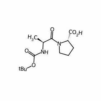 C[C@H](NC(=O)OC(C)(C)C)C(=O)N1CCC[C@H]1C(=O)O